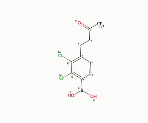 O=C(CCc1ccc(B(O)O)c(Cl)c1Cl)C(F)(F)F